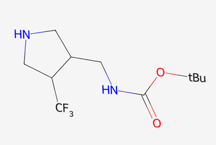 CC(C)(C)OC(=O)NCC1CNCC1C(F)(F)F